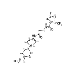 Cc1nc(C(=O)NCCC(=O)Nc2ccc(C3CCC(CC(=O)O)CC3)cc2)c(C(F)(F)F)o1